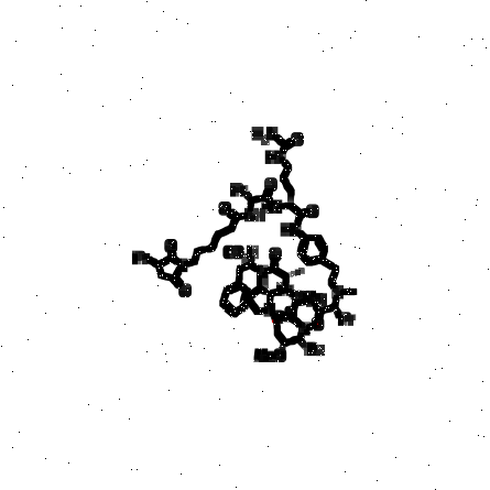 CC[C@H](C)[C@@H]([C@@H](CC(=O)N1CCC[C@H]1[C@H](OC)[C@@H](C)C(=O)N[C@@H](Cc1ccccc1)C(=O)O)OC)N(C)C(=O)[C@@H](NC(=O)[C@H](C(C)C)N(C)CCc1ccc(NC(=O)[C@H](CCCNC(N)=O)NC(=O)[C@@H](NC(=O)CCCCCN2C(=O)CC(C(C)C)C2=O)C(C)C)cc1)C(C)C